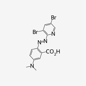 CN(C)c1ccc(N=Nc2ncc(Br)cc2Br)c(C(=O)O)c1